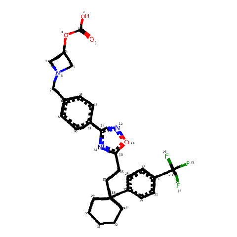 O=C(O)OC1CN(Cc2ccc(-c3noc(CCC4(c5ccc(C(F)(F)F)cc5)CCCCC4)n3)cc2)C1